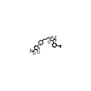 CN(C)C(=O)c1ccc(N2CCC(CCCN(C)C(=O)C(c3cccc(C4CC4)c3)C(F)(F)F)CC2)nc1Cl